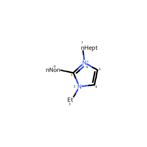 CCCCCCCCCc1n(CC)cc[n+]1CCCCCCC